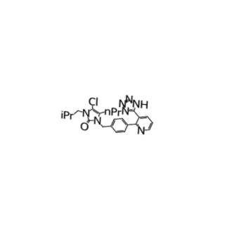 CCCc1c(Cl)n(CC(C)C)c(=O)n1Cc1ccc(-c2ncccc2-c2nnn[nH]2)cc1